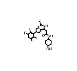 O=C(Cc1[nH]c(=S)n2c1CC(c1c(F)c(F)cc(F)c1F)C2)NC1CCC(O)CC1